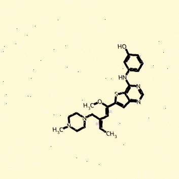 C/C=C(\C=C(/OC)c1cc2ncnc(Nc3cccc(O)c3)c2s1)CN1CCN(C)CC1